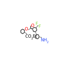 CCOC(=O)Cc1ccccc1OCc1coc2c(C(F)F)cc(-c3cccc(CN)c3)cc12